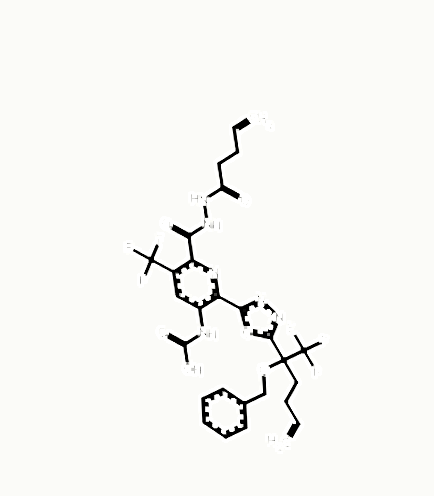 C=CCCC(=O)NNC(=O)c1nc(-c2nnc(C(CCC=C)(OCc3ccccc3)C(F)(F)F)o2)c(NC(=O)O)cc1C(F)(F)F